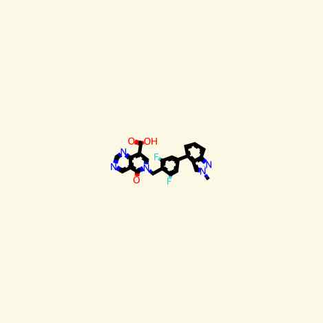 Cn1cc2c(-c3cc(F)c(Cn4cc(C(=O)O)c5ncncc5c4=O)c(F)c3)cccc2n1